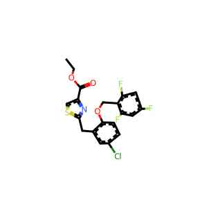 CCOC(=O)c1csc(Cc2cc(Cl)ccc2OCc2c(F)cc(F)cc2F)n1